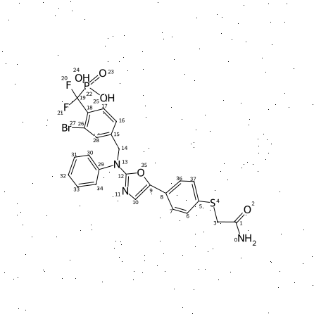 NC(=O)CSc1ccc(-c2cnc(N(Cc3ccc(C(F)(F)P(=O)(O)O)c(Br)c3)c3ccccc3)o2)cc1